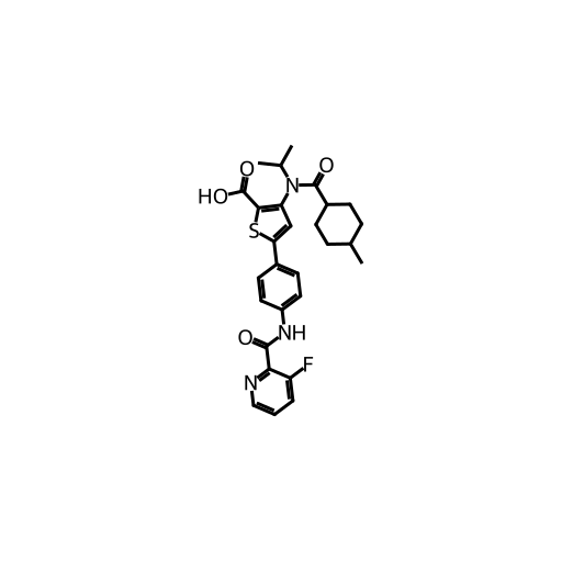 CC1CCC(C(=O)N(c2cc(-c3ccc(NC(=O)c4ncccc4F)cc3)sc2C(=O)O)C(C)C)CC1